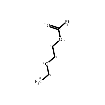 CCC(=O)OCCOCC(F)(F)F